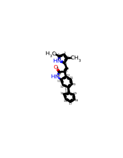 Cc1cc(C)c(/C=C2\C(=O)Nc3cc(-c4ccccc4)ccc32)[nH]1